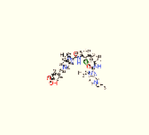 CN1CCc2c(nc(C(=O)Nc3cccc(-c4cccc(NC(=O)c5nc6c(n5C)CCN(CCC57CCC(C(=O)O)(CC5)C7)C6)c4Cl)c3Cl)n2C)C1